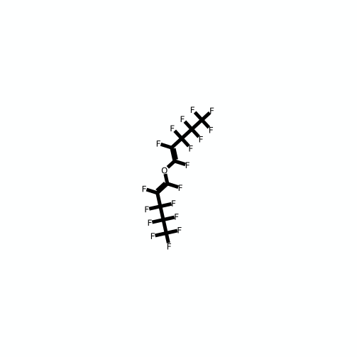 FC(OC(F)=C(F)C(F)(F)C(F)(F)C(F)(F)F)=C(F)C(F)(F)C(F)(F)C(F)(F)F